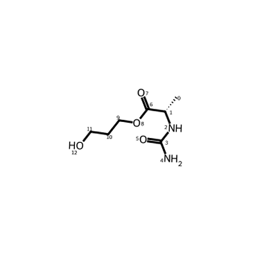 C[C@H](NC(N)=O)C(=O)OCCCO